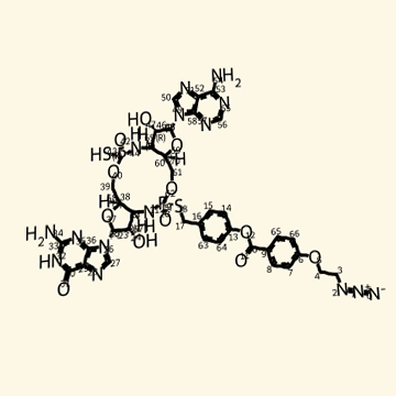 [N-]=[N+]=NCCOc1ccc(C(=O)Oc2ccc(CS[P@]3(=O)N[C@H]4[C@@H](O)[C@H](n5cnc6c(=O)[nH]c(N)nc65)O[C@@H]4CO[P@@](=O)(S)N[C@H]4[C@@H](O)[C@H](n5cnc6c(N)ncnc65)O[C@@H]4CO3)cc2)cc1